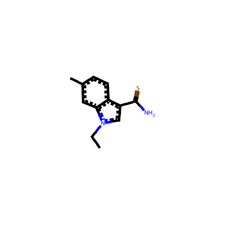 CCn1cc(C(N)=S)c2ccc(C)cc21